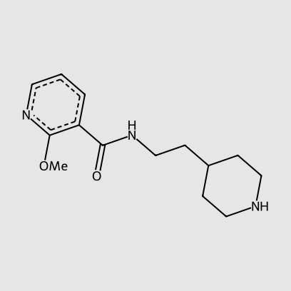 COc1ncccc1C(=O)NCCC1CCNCC1